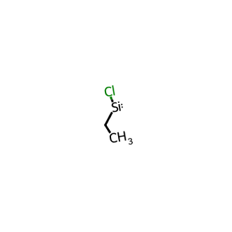 CC[Si]Cl